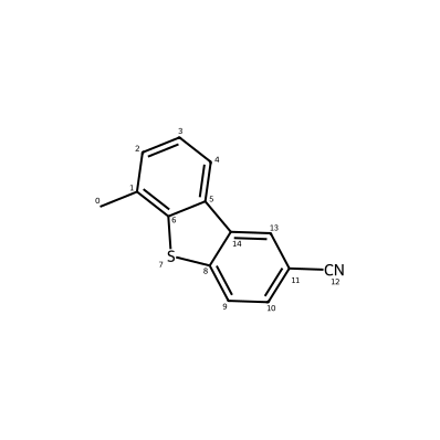 Cc1cccc2c1sc1ccc(C#N)cc12